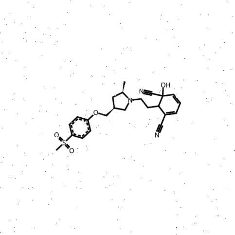 C[C@@H]1C[C@H](COc2ccc(S(C)(=O)=O)cc2)CN1CCC1C(C#N)=CC=CC1(O)C#N